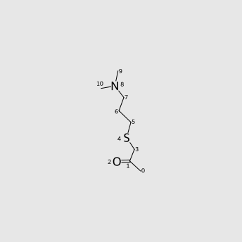 CC(=O)CSCCCN(C)C